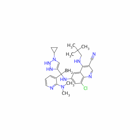 BC(Nc1cc(Cl)c2ncc(C#N)c(NCC(C)(C)C)c2c1)(C1=CN(C2CC2)NN1)c1cccnc1N(C)C